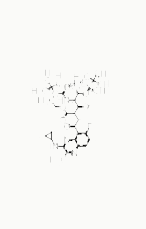 CCOC(=O)C(CC(=O)c1c(F)ccc2nc(C)c(NC3CC3)nc12)C(=O)C(NC(=O)OC(C)(C)C)C(C)O[Si](C)(C)C(C)(C)C